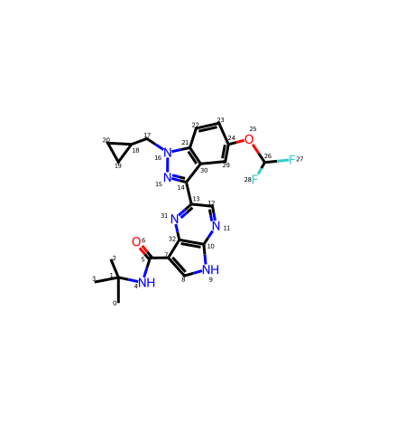 CC(C)(C)NC(=O)c1c[nH]c2ncc(-c3nn(CC4CC4)c4ccc(OC(F)F)cc34)nc12